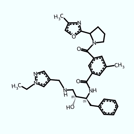 CCn1cc(CNC[C@@H](O)[C@H](Cc2ccccc2)NC(=O)c2cc(C)cc(C(=O)N3CCCC3c3nc(C)co3)c2)cn1